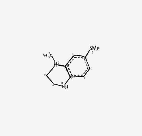 CSc1ccc2c(c1)N(C)CCN2